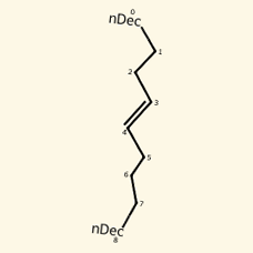 [CH2]CCCCCCCCCCCC=CCCCCCCCCCCCC[CH2]